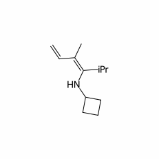 C=C/C(C)=C(\NC1CCC1)C(C)C